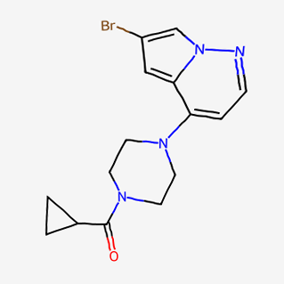 O=C(C1CC1)N1CCN(c2ccnn3cc(Br)cc23)CC1